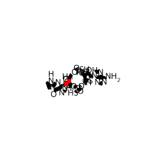 Nc1ncnc2c1ncn2[C@@H]1S[C@@H]2COP(=O)(S)O[C@H]3[C@H](F)[C@@H](COP(=O)(S)O[C@@H]2[C@@H]1O)O[C@H]3n1cnc2c(=O)n3cc[nH]c3nc21